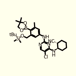 Cc1cc(Nc2ncc(Cl)c(N[C@@H]3CCCC[C@H]3C#N)n2)cc(CO[Si](C)(C)C(C)(C)C)c1B1OCC(C)(C)O1